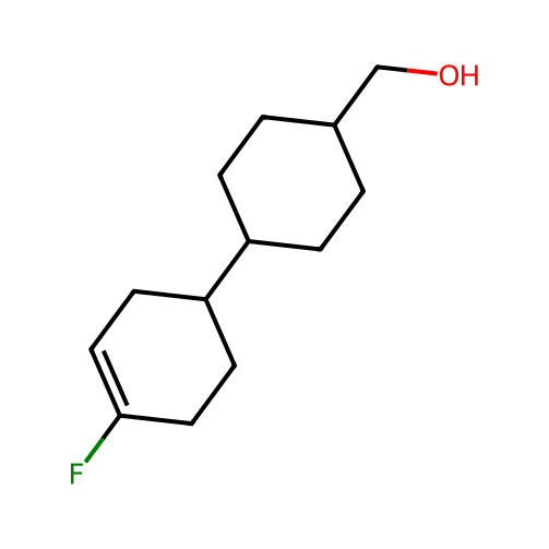 OCC1CCC(C2CC=C(F)CC2)CC1